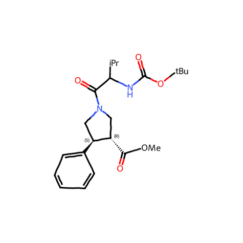 COC(=O)[C@H]1CN(C(=O)C(NC(=O)OC(C)(C)C)C(C)C)C[C@@H]1c1ccccc1